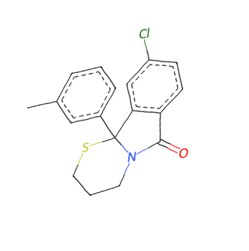 Cc1cccc(C23SCCCN2C(=O)c2ccc(Cl)cc23)c1